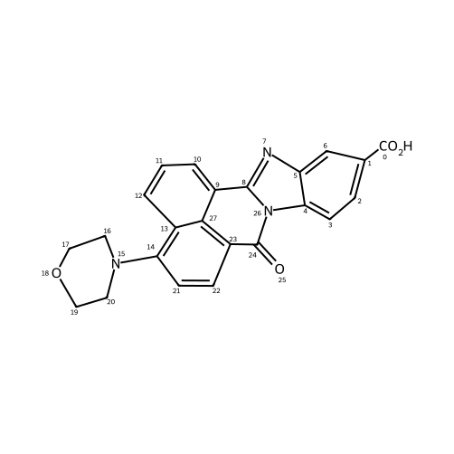 O=C(O)c1ccc2c(c1)nc1c3cccc4c(N5CCOCC5)ccc(c(=O)n21)c43